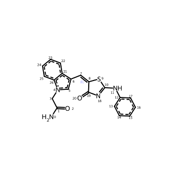 NC(=O)Cn1cc(/C=C2/SC(Nc3cc[c]cc3)=NC2=O)c2ccccc21